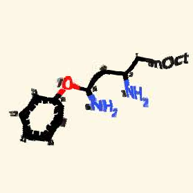 CCCCCCCCCC(N)CC(N)Oc1ccccc1